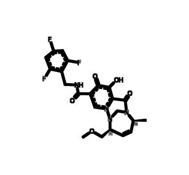 COC[C@@H]1C=C[C@H](C)N2CN1n1cc(C(=O)NCc3c(F)cc(F)cc3F)c(=O)c(O)c1C2=O